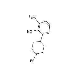 CCN1CCC(c2cccc(C(F)(F)F)c2C#N)CC1